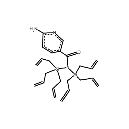 C=CC[Si](CC=C)(CC=C)N(C(=O)c1ccc(N)nc1)[Si](CC=C)(CC=C)CC=C